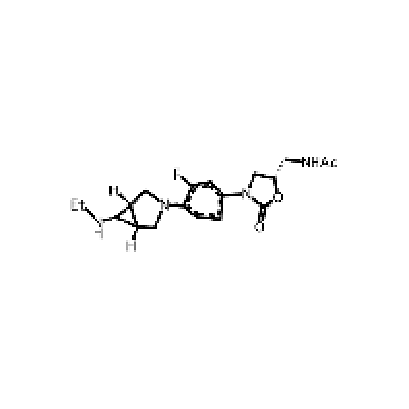 CCN[C@H]1[C@@H]2CN(c3ccc(N4C[C@H](CNC(C)=O)OC4=O)cc3F)C[C@@H]21